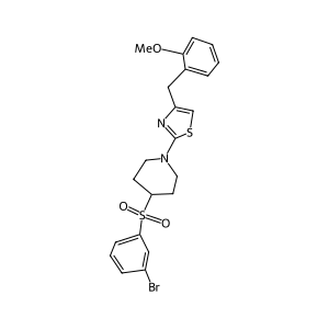 COc1ccccc1Cc1csc(N2CCC(S(=O)(=O)c3cccc(Br)c3)CC2)n1